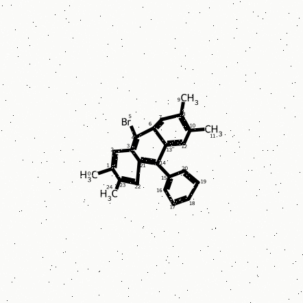 Cc1cc2c(Br)c3cc(C)c(C)cc3c(-c3ccccc3)c2cc1C